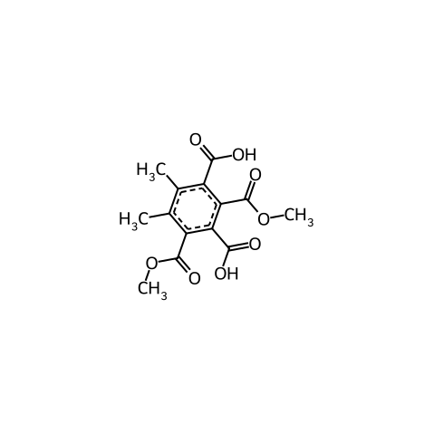 COC(=O)c1c(C)c(C)c(C(=O)O)c(C(=O)OC)c1C(=O)O